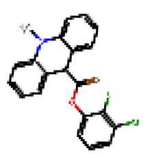 CN1c2ccccc2C(C(=S)Oc2cccc(Cl)c2Cl)c2ccccc21